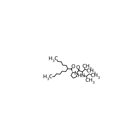 CCCCCCC(CCCCC)C(=O)[C@@H]1CCCN1C(=O)C(NC(C)CC)C(C)C